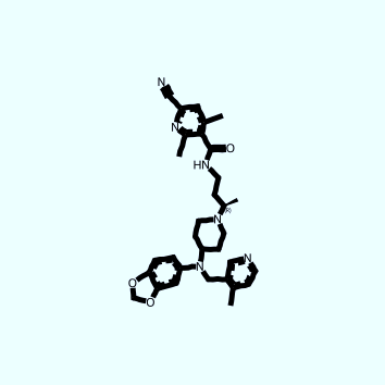 Cc1ccncc1CN(c1ccc2c(c1)OCO2)C1CCN([C@H](C)CCNC(=O)c2c(C)cc(C#N)nc2C)CC1